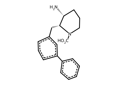 N[C@@H]1CCCN(C(=O)O)[C@@H]1Cc1cccc(-c2ccccc2)c1